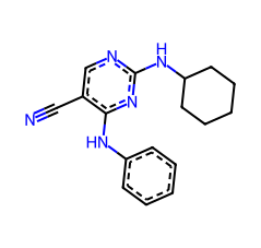 N#Cc1cnc(NC2CCCCC2)nc1Nc1ccccc1